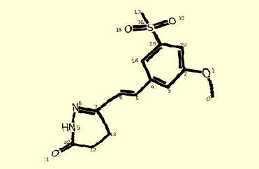 COc1cc(C=CC2=NNC(=O)CC2)cc(S(C)(=O)=O)c1